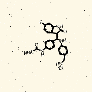 CCNCc1ccc(N/C(=C2\C(=O)Nc3cc(F)ccc32)c2ccc(NC(=O)OC)cc2)cc1